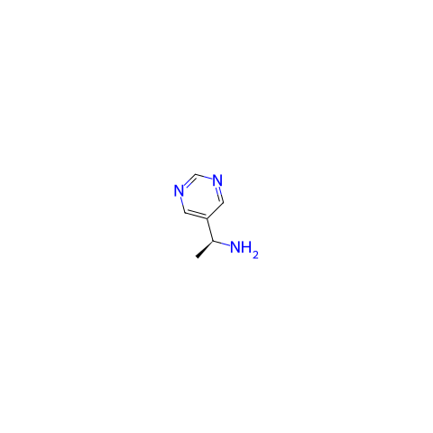 C[C@H](N)c1cncnc1